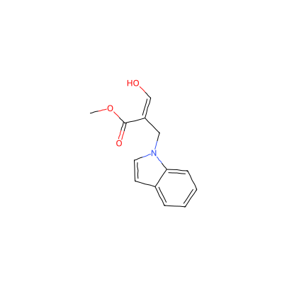 COC(=O)C(=CO)Cn1ccc2ccccc21